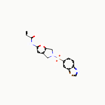 C=CC(=O)Nc1cc2c(o1)CN(S(=O)(=O)c1ccc3ncsc3c1)C2